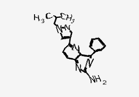 CC(C)Cn1cc(-c2ccc3nc(N)nc(-c4ccccc4)c3n2)cn1